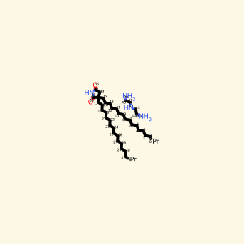 CC(C)CCCCCCCCCCCCCCCC1(CCCCCCCCCCCCCCCC(C)C)CC(=O)NC1=O.NCCNCCN